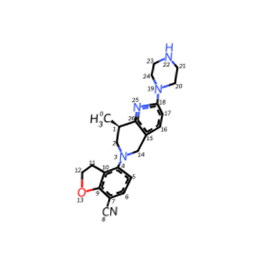 C[C@@H]1CN(c2ccc(C#N)c3c2CCO3)Cc2ccc(N3CCNCC3)nc21